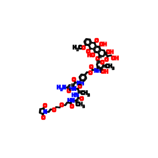 COc1cccc2c1C(=O)c1c(O)c3c(c(O)c1C2=O)C[C@@](O)(C(=O)CO)C[C@@H]3O[C@H]1C[C@H](NC(=O)OCc2ccc(NC(=O)[C@@H](CC(N)=O)NC(=O)[C@@H](C)NC(=O)[C@@H](C)NC(=O)CCOCCOCCN3C(=O)C=CC3=O)cc2)[C@H](O)[C@H](C)O1